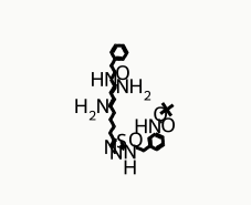 CC(C)(C)OC(=O)Nc1cccc(CC(=O)Nc2nnc(CCCC/C(N)=C/C=C(\N)NC(=O)Cc3ccccc3)s2)c1